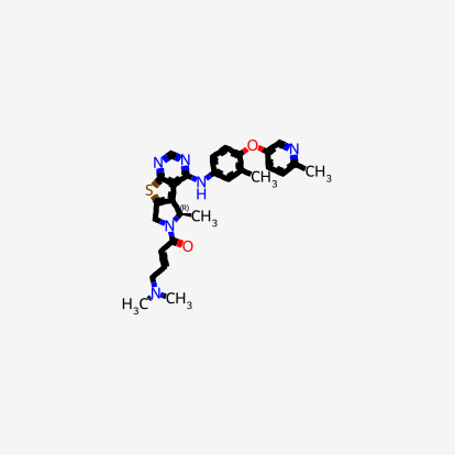 Cc1ccc(Oc2ccc(Nc3ncnc4sc5c(c34)[C@@H](C)N(C(=O)C=CCN(C)C)C5)cc2C)cn1